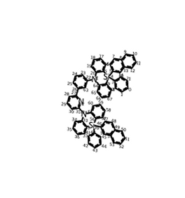 c1ccc([Si]2(c3ccc4ccccc4c3)c3ccccc3N(c3cccc(-c4cccc(N5c6ccccc6[Si](c6ccccc6)(c6ccc7ccccc7c6)c6ccccc65)n4)c3)c3ccccc32)cc1